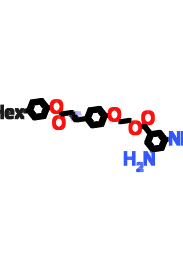 CCCCCCc1ccc(OC(=O)/C=C/c2ccc(OCCOC(=O)c3cc(N)cc(N)c3)cc2)cc1